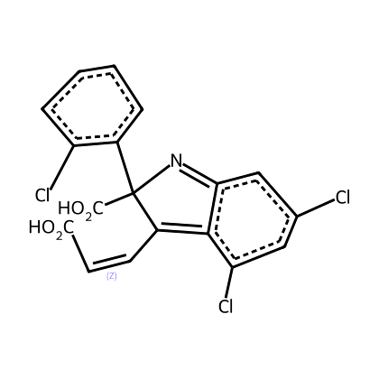 O=C(O)/C=C\C1=c2c(Cl)cc(Cl)cc2=NC1(C(=O)O)c1ccccc1Cl